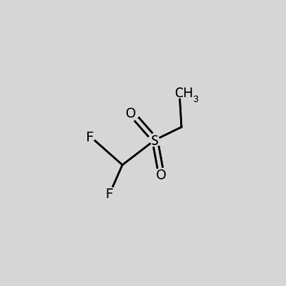 CCS(=O)(=O)C(F)F